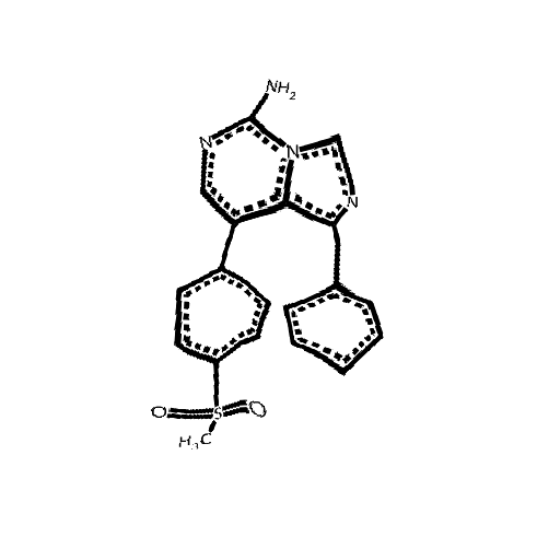 CS(=O)(=O)c1ccc(-c2cnc(N)n3cnc(-c4ccccc4)c23)cc1